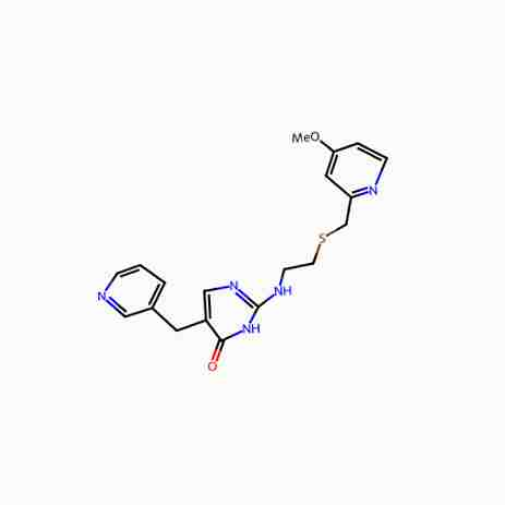 COc1ccnc(CSCCNc2ncc(Cc3cccnc3)c(=O)[nH]2)c1